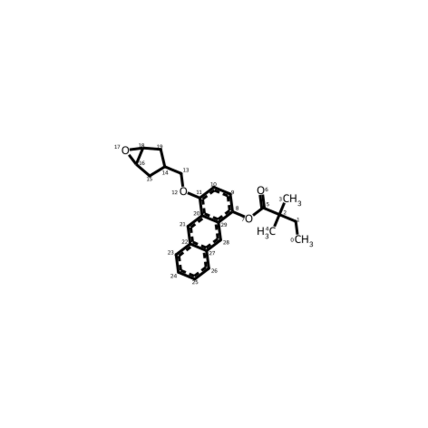 CCC(C)(C)C(=O)Oc1ccc(OCC2CC3OC3C2)c2cc3ccccc3cc12